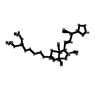 CCN(CC)CCCCCC1=C[C@H]2C[C@@H](O)[C@H](/C=C/[C@@H](O)C3CCCC3)[C@H]2C1